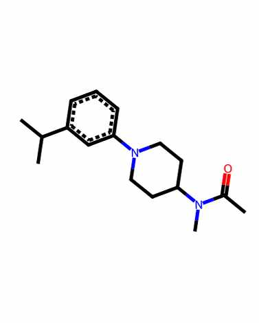 CC(=O)N(C)C1CCN(c2cccc(C(C)C)c2)CC1